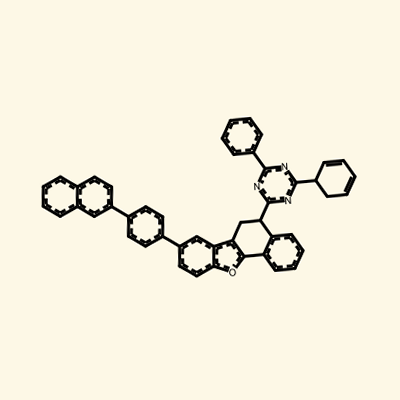 C1=CCC(c2nc(-c3ccccc3)nc(C3Cc4c(oc5ccc(-c6ccc(-c7ccc8ccccc8c7)cc6)cc45)-c4ccccc43)n2)C=C1